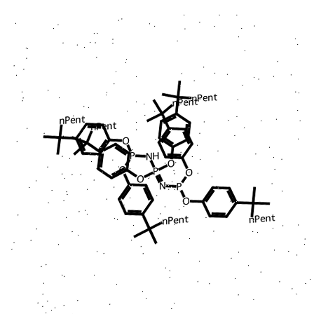 CCCCCC(C)(C)c1ccc(OP(N=P(NP(Oc2ccc(C(C)(C)CCCCC)cc2)Oc2ccc(C(C)(C)CCCCC)cc2)(Oc2ccc(C(C)(C)CCCCC)cc2)Oc2ccc(C(C)(C)CCCCC)cc2)Oc2ccc(C(C)(C)CCCCC)cc2)cc1